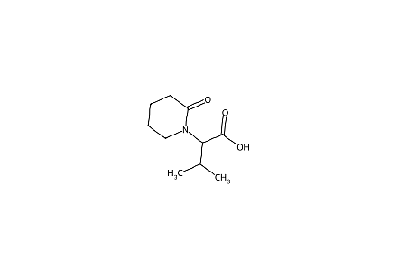 CC(C)C(C(=O)O)N1CCCCC1=O